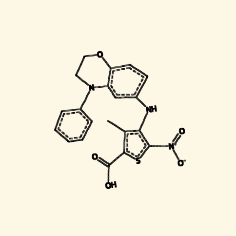 Cc1c(C(=O)O)sc([N+](=O)[O-])c1Nc1ccc2c(c1)N(c1ccccc1)CCO2